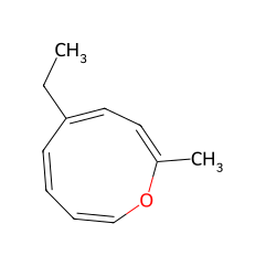 CCc1ccccoc(C)cc1